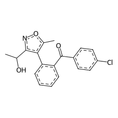 Cc1onc(C(C)O)c1-c1ccccc1C(=O)c1ccc(Cl)cc1